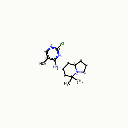 CC1(C)C[C@H](Nc2nc(Cl)ncc2C#N)CC2CCCN21